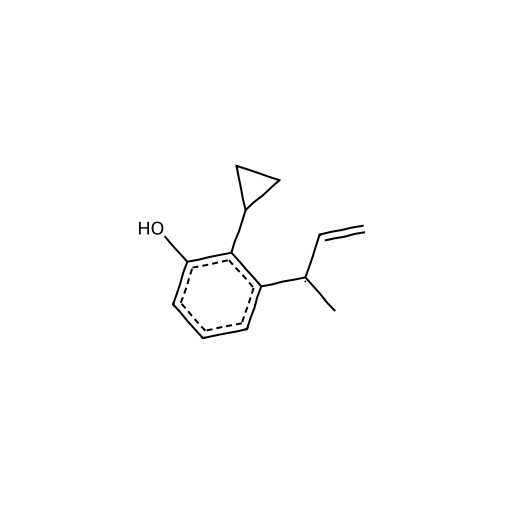 C=C[C](C)c1cccc(O)c1C1CC1